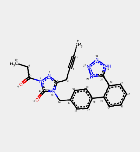 CC#CCc1nn(C(=O)CC)c(=O)n1Cc1ccc(-c2ccccc2-c2nnn[nH]2)cc1